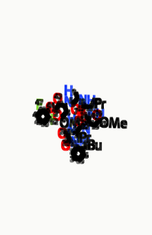 COC(=O)CC(NC(=O)C(C)NC(=O)C(NC(=O)C(CC(=O)OC)NC(=O)C(NC(=O)C(=O)Nc1ccccc1C(C)(C)C)C(C)C)C(C)C)C(=O)COc1c(F)cccc1F